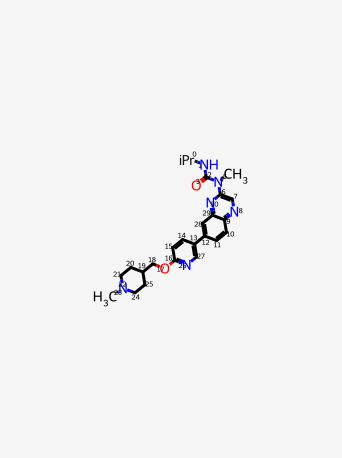 CC(C)NC(=O)N(C)c1cnc2ccc(-c3ccc(OCC4CCN(C)CC4)nc3)cc2n1